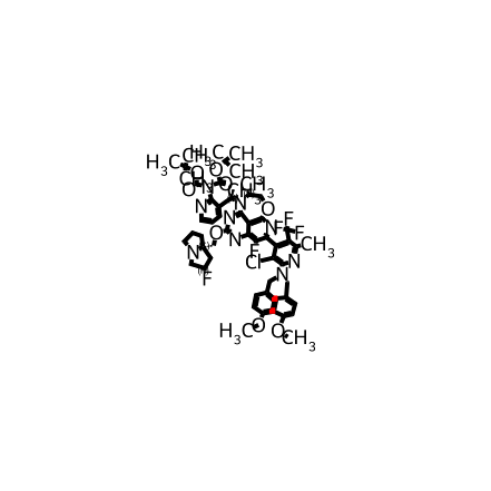 COc1ccc(CN(Cc2ccc(OC)cc2)c2nc(C)c(C(F)(F)F)c(-c3nc4c5c(nc(OC[C@@]67CCCN6C[C@H](F)C7)nc5c3F)N([C@H](C)c3cccnc3N(C(=O)OC(C)(C)C)C(=O)OC(C)(C)C)[C@@H](C)CO4)c2Cl)cc1